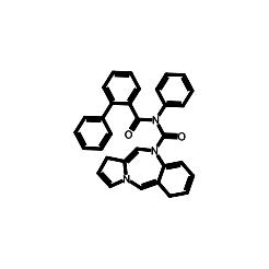 O=C(c1ccccc1-c1ccccc1)N(C(=O)N1C=C2CC=CN2C=C2CC=CC=C21)c1ccccc1